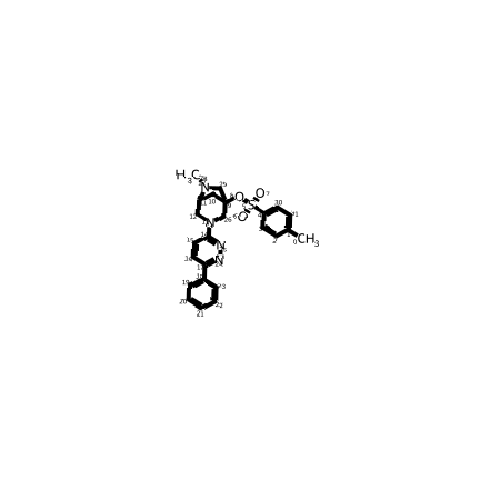 Cc1ccc(S(=O)(=O)OC23CC(CN(c4ccc(-c5ccccc5)nn4)C2)N(C)C3)cc1